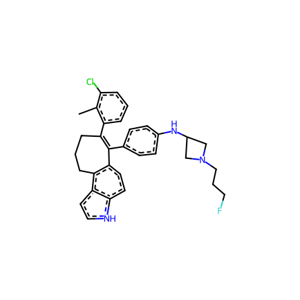 Cc1c(Cl)cccc1C1=C(c2ccc(NC3CN(CCCF)C3)cc2)c2ccc3[nH]ccc3c2CCC1